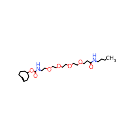 CCCCNC(=O)CCOCCOCCOCCOCCNC(=O)OC1CC/C=C/CCC1